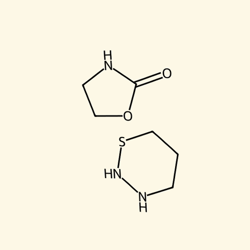 C1CNNSC1.O=C1NCCO1